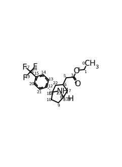 CCOC(=O)CC1C[C@H]2CC[C@@](c3ccc(C(F)(F)F)cc3)(C1)N2